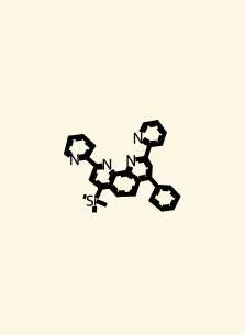 C[Si](C)(C)c1cc(-c2ccccn2)nc2c1ccc1c(-c3ccccc3)cc(-c3ccccn3)nc12